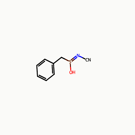 N#CN=S(O)Cc1ccccc1